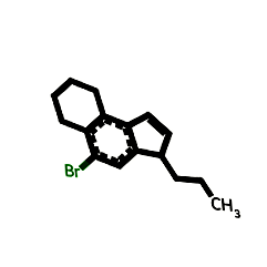 CCCC1C=Cc2c1cc(Br)c1c2CCCC1